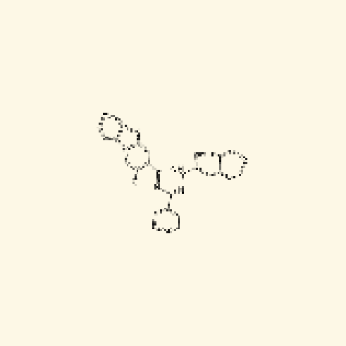 Clc1cc2c(cc1C1=NC(c3ccccc3)=NC(c3ccc4ccccc4c3)N1)sc1ccccc12